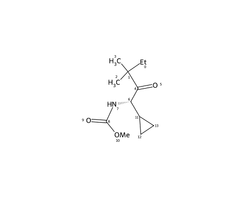 CCC(C)(C)C(=O)[C@@H](NC(=O)OC)C1CC1